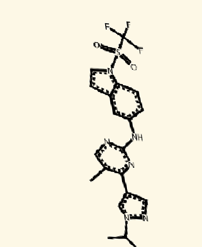 Cc1cnc(Nc2ccc3c(ccn3S(=O)(=O)C(F)(F)F)c2)nc1-c1cnn(C(C)C)c1